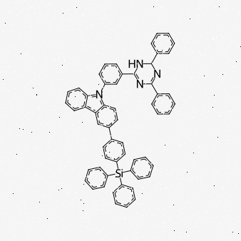 c1ccc(C2=NC(c3ccccc3)NC(c3cccc(-n4c5ccccc5c5cc(-c6ccc([Si](c7ccccc7)(c7ccccc7)c7ccccc7)cc6)ccc54)c3)=N2)cc1